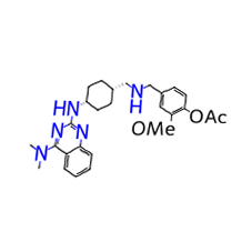 COc1cc(CNC[C@H]2CC[C@@H](Nc3nc(N(C)C)c4ccccc4n3)CC2)ccc1OC(C)=O